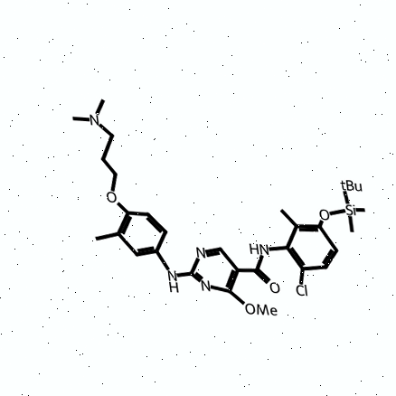 COc1nc(Nc2ccc(OCCCN(C)C)c(C)c2)ncc1C(=O)Nc1c(Cl)ccc(O[Si](C)(C)C(C)(C)C)c1C